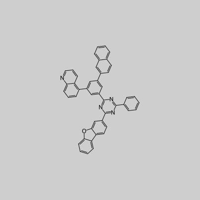 c1ccc(-c2nc(-c3cc(-c4ccc5ccccc5c4)cc(-c4cccc5ncccc45)c3)nc(-c3ccc4c(c3)oc3ccccc34)n2)cc1